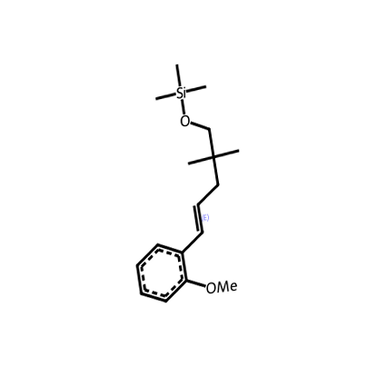 COc1ccccc1/C=C/CC(C)(C)CO[Si](C)(C)C